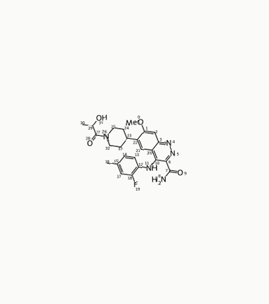 COc1cc2nnc(C(N)=O)c(Nc3ccc(C)cc3F)c2cc1C1CCN(C(=O)C(C)O)CC1